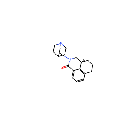 O=C1c2cccc3c2[C@@H](CCC3)CN1C1CN2CCC1CC2